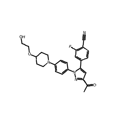 CC(=O)c1cc(-c2ccc(C#N)c(F)c2)n(-c2ccc(N3CCC(OCCO)CC3)cc2)n1